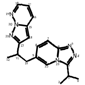 CC(C)c1nnc2ccc(CC(C)c3cc4cccnn4n3)cn12